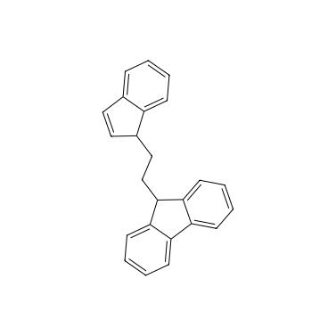 C1=CC(CCC2c3ccccc3-c3ccccc32)c2ccccc21